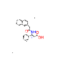 O=C(O)/C=C(\NC(=O)Cc1ccc2ccccc2c1)c1ccccc1